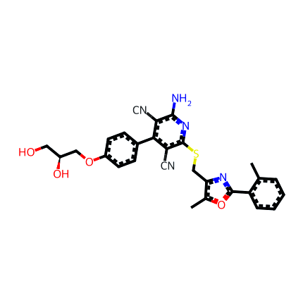 [C-]#[N+]c1c(N)nc(SCc2nc(-c3ccccc3C)oc2C)c(C#N)c1-c1ccc(OC[C@@H](O)CO)cc1